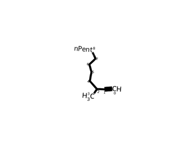 C#C[C](C)CCCCCCCCC